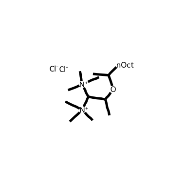 CCCCCCCCC(C)OC(C)C([N+](C)(C)C)[N+](C)(C)C.[Cl-].[Cl-]